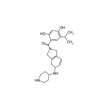 CC(C)c1cc(C(=O)N2CC3=C(CC(NC4CCNCC4)C=C3)C2)c(O)cc1O